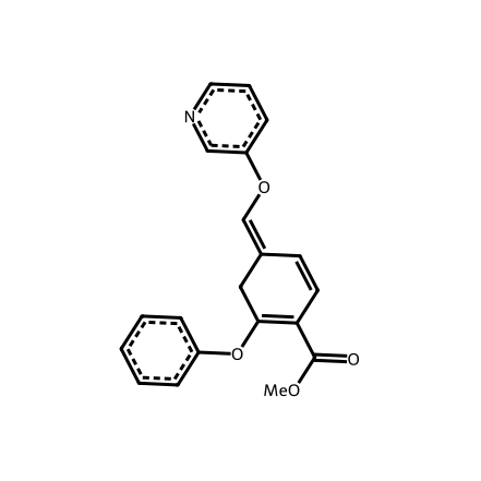 COC(=O)C1=C(Oc2ccccc2)CC(=COc2cccnc2)C=C1